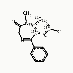 CN1C(=O)CN=C(c2ccccc2)[13c]2[13cH][13c](Cl)[13cH][13cH][13c]21